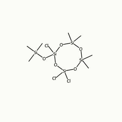 C[Si](C)(C)O[Si]1(Cl)O[Si](C)(C)O[Si](C)(C)O[Si](Cl)(Cl)O1